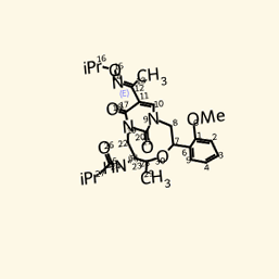 COc1ccccc1C1Cn2cc(/C(C)=N/OC(C)C)c(=O)n(c2=O)C[C@@H](NC(=O)C(C)C)C(C)O1